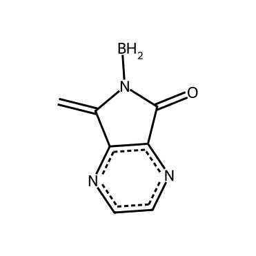 BN1C(=C)c2nccnc2C1=O